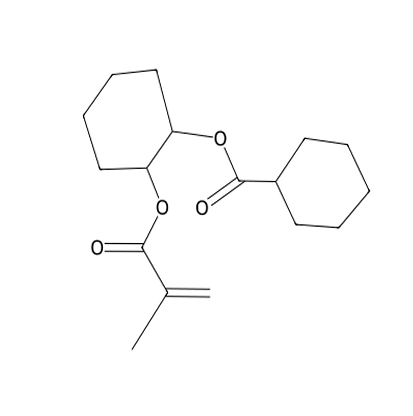 C=C(C)C(=O)OC1CCCCC1OC(=O)C1CCCCC1